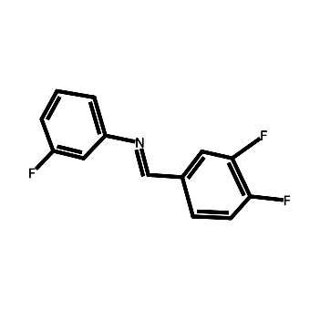 Fc1cccc(N=Cc2ccc(F)c(F)c2)c1